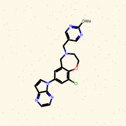 COc1ncc(CN2CCOc3c(Cl)cc(-n4ccc5nccnc54)cc3C2)cn1